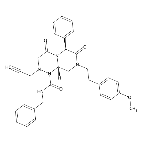 C#CCN1CC(=O)N2[C@@H](c3ccccc3)C(=O)N(CCc3ccc(OC)cc3)C[C@@H]2N1C(=O)NCc1ccccc1